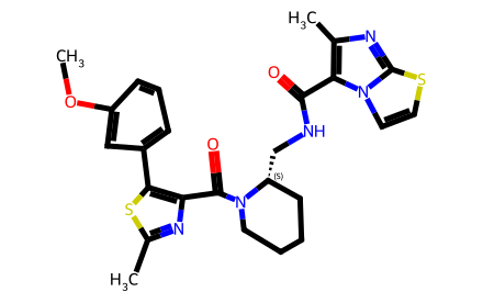 COc1cccc(-c2sc(C)nc2C(=O)N2CCCC[C@H]2CNC(=O)c2c(C)nc3sccn23)c1